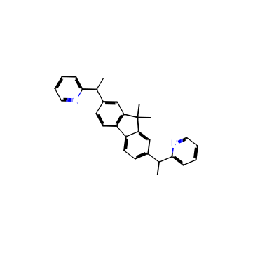 CC(c1ccc2c(c1)C(C)(C)c1cc(C(C)c3ccccn3)ccc1-2)c1ccccn1